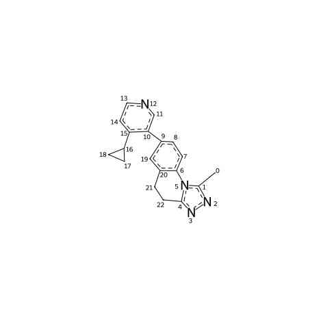 Cc1nnc2n1-c1ccc(-c3cnccc3C3CC3)cc1CC2